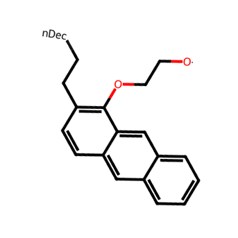 CCCCCCCCCCCCc1ccc2cc3ccccc3cc2c1OCC[O]